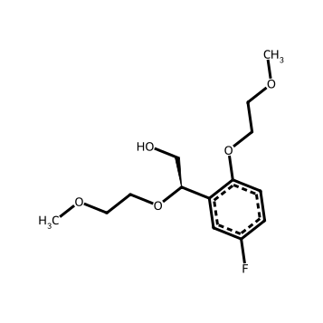 COCCOc1ccc(F)cc1[C@H](CO)OCCOC